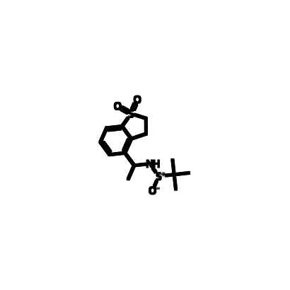 CC(N[S+]([O-])C(C)(C)C)c1cccc2c1CCS2(=O)=O